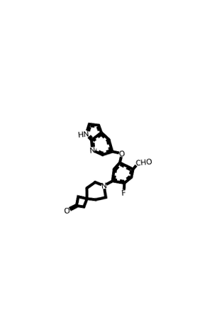 O=Cc1cc(F)c(N2CCC3(CC2)CC(=O)C3)cc1Oc1cnc2[nH]ccc2c1